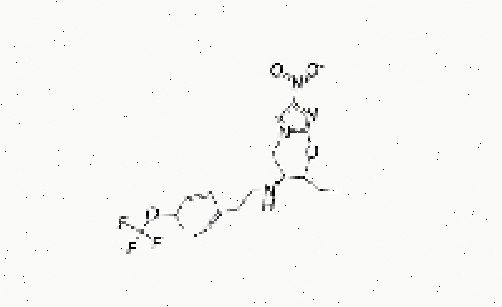 C/C=C(\C=C/C(C)OC(F)(F)F)CCN[C@H]1Cn2cc([N+](=O)[O-])nc2OC1CC